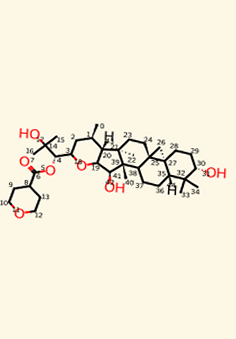 C[C@@H]1CC([C@H](OC(=O)C2CCOCC2)C(C)(C)O)OC2[C@H]1[C@@]1(C)CC[C@@]34C[C@@]35CC[C@H](O)C(C)(C)[C@@H]5CCC4[C@]1(C)[C@H]2O